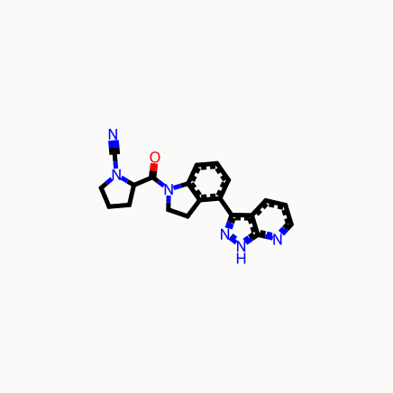 N#CN1CCCC1C(=O)N1CCc2c(-c3n[nH]c4ncccc34)cccc21